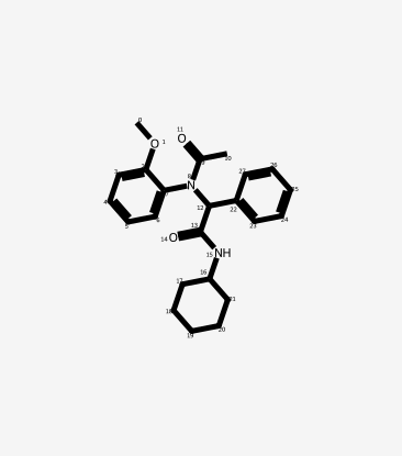 COc1ccccc1N(C(C)=O)C(C(=O)NC1CCCCC1)c1ccccc1